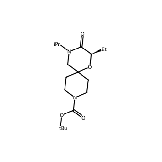 CC[C@H]1OC2(CCN(C(=O)OC(C)(C)C)CC2)CN(C(C)C)C1=O